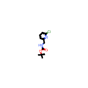 CC(C)(C)OC(=O)NCc1cccc(Cl)n1